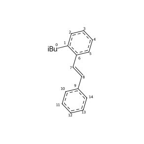 CCC(C)c1ccccc1/C=C/c1ccccc1